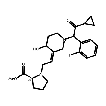 COC(=O)[C@@H]1CCCN1CC=C1CN(C(C(=O)C2CC2)c2ccccc2F)CCC1O